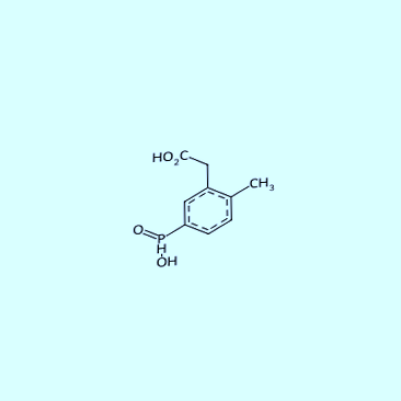 Cc1ccc([PH](=O)O)cc1CC(=O)O